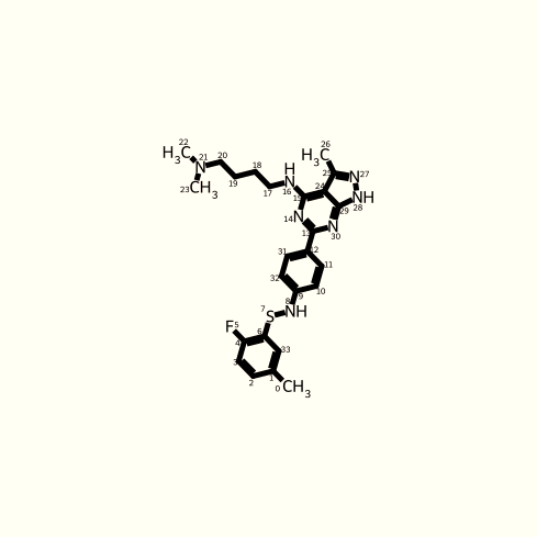 Cc1ccc(F)c(SNc2ccc(-c3nc(NCCCCN(C)C)c4c(C)n[nH]c4n3)cc2)c1